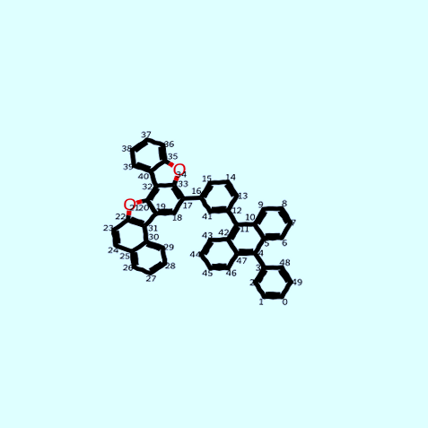 c1ccc(-c2c3ccccc3c(-c3cccc(-c4cc5c(oc6ccc7ccccc7c65)c5c4oc4ccccc45)c3)c3ccccc23)cc1